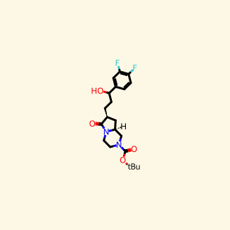 CC(C)(C)OC(=O)N1CCN2C(=O)[C@@H](CCC(O)c3ccc(F)c(F)c3)C[C@H]2C1